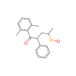 Cc1cccc(C)c1C(=O)C(CC(C)P=O)c1ccccc1